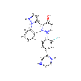 O=c1ccn(-c2ccc(-c3cnccn3)cc2F)nc1-c1ccnn1-c1ccccc1